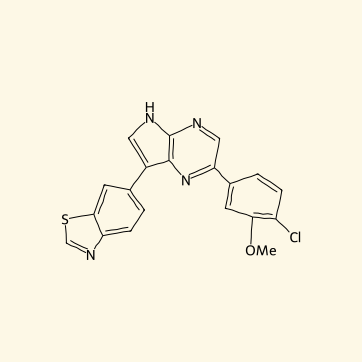 COc1cc(-c2cnc3[nH]cc(-c4ccc5ncsc5c4)c3n2)ccc1Cl